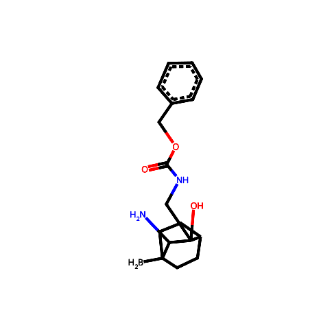 BC12CCC(CC1)C(O)(CNC(=O)OCc1ccccc1)C2N